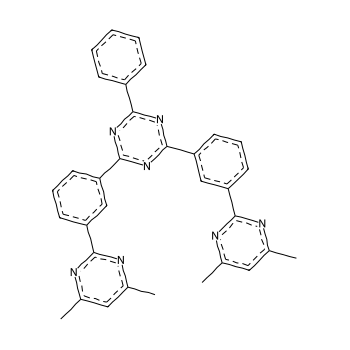 Cc1cc(C)nc(-c2cccc(-c3nc(-c4ccccc4)nc(-c4cccc(-c5nc(C)cc(C)n5)c4)n3)c2)n1